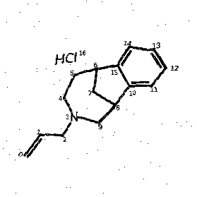 C=CCN1CCC2CC(C1)c1ccccc12.Cl